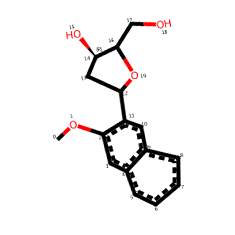 COc1cc2ccccc2cc1C1C[C@@H](O)C(CO)O1